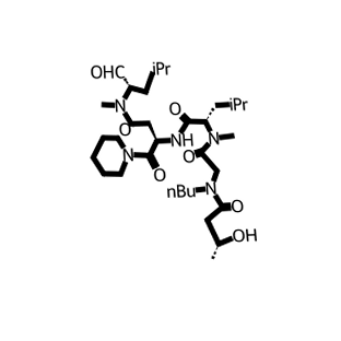 CCCCN(CC(=O)N(C)[C@@H](CC(C)C)C(=O)N[C@H](CC(=O)N(C)[C@H](C=O)CC(C)C)C(=O)N1CCCCC1)C(=O)C[C@@H](C)O